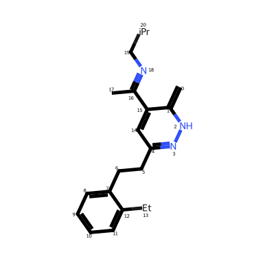 C=C1NN=C(CCc2ccccc2CC)C=C1/C(C)=N/CC(C)C